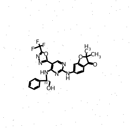 CC1(C)Oc2cc(Nc3ncc(-c4nnc(C(F)(F)F)o4)c(N[C@H](CO)c4ccccc4)n3)ccc2C1=O